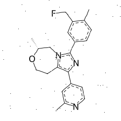 Cc1cc(-c2nc(-c3ccc(C)c(CF)c3)n3c2CCO[C@H](C)C3)ccn1